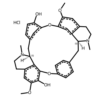 COc1cc2c3cc1Oc1cc(ccc1O)C[C@H]1c4c(cc(OC)c(O)c4Oc4ccc(cc4)C[C@@H]3N(C)CC2)CCN1C.Cl